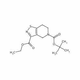 CCOC(=O)c1nsc2c1CN(C(=O)OC(C)(C)C)CC2